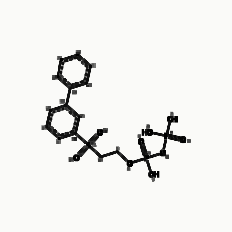 O=P(O)(O)OP(=O)(O)OCCS(=O)(=O)c1cccc(-c2ccccc2)c1